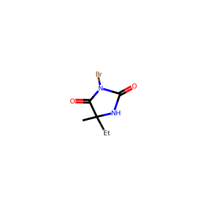 CCC1(C)NC(=O)N(Br)C1=O